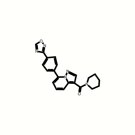 O=C(c1cnn2c(-c3ccc(-c4ncon4)cc3)cccc12)N1CCCCC1